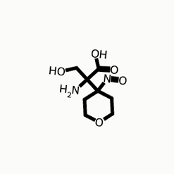 NC(CO)(C(=O)O)C1(N=O)CCOCC1